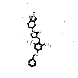 Cc1cc(OCc2ccccc2)cc(C)c1CC1CCN([C@@H]2CCc3n[nH]cc3C2)C1=O